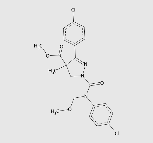 COCN(C(=O)N1CC(C)(C(=O)OC)C(c2ccc(Cl)cc2)=N1)c1ccc(Cl)cc1